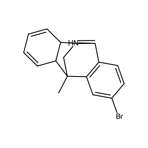 CC12CNC(=CC3C=CC=CC31)c1ccc(Br)cc12